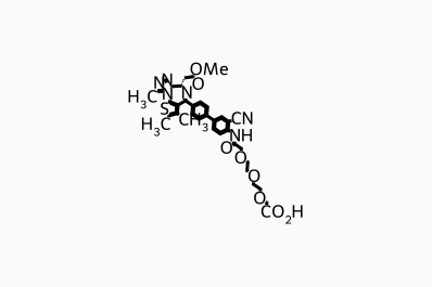 COC(=O)C[C@@H]1N=C(c2ccc(-c3ccc(NC(=O)COCCOCCOCC(=O)O)c(C#N)c3)cc2)c2c(sc(C)c2C)-n2c(C)nnc21